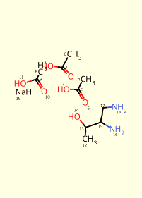 CC(=O)O.CC(=O)O.CC(=O)O.CC(O)C(N)CN.[NaH]